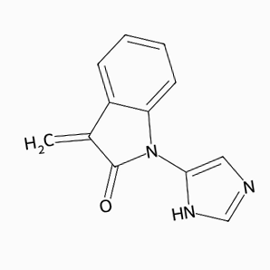 C=C1C(=O)N(c2cnc[nH]2)c2ccccc21